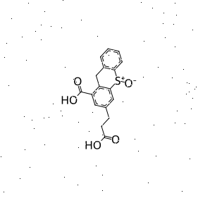 O=C(O)CCc1cc(C(=O)O)c2c(c1)[S+]([O-])c1ccccc1C2